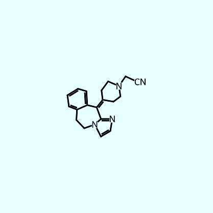 N#CCN1CCC(=C2c3ccccc3CCn3ccnc32)CC1